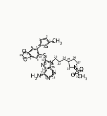 Cc1ccc(-c2cc3c(cc2Sc2nc4c(N)ncnc4n2CCCC2CCN(S(C)(=O)=O)C2)OCO3)s1